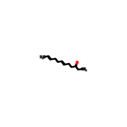 C/C=C/CC/C=C/CCC(=O)CC